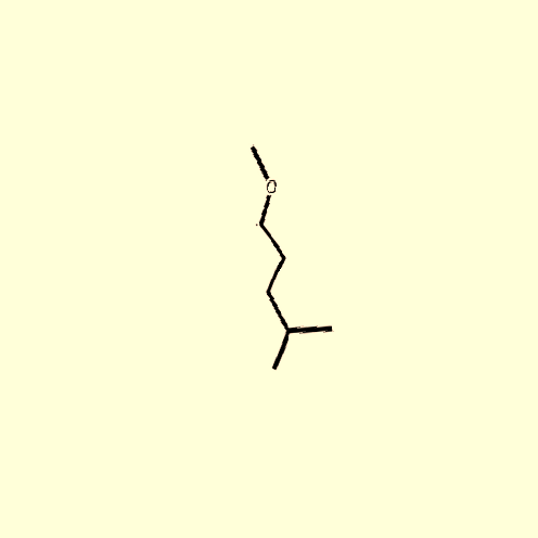 CO[CH]CCC(C)C